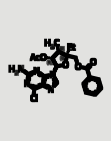 CC[C@]1(COC(=O)c2ccccc2)OC(n2cnc3c(Cl)nc(N)nc32)[C@H](OC(C)=O)[C@H]1C